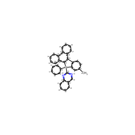 Cc1ccc2c(c1)[Si](c1ccccc1)(c1ncc3ccccc3n1)c1c-2c2ccccc2c2ccccc12